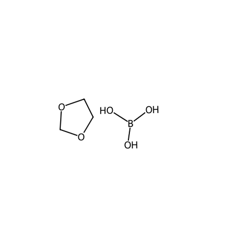 C1COCO1.OB(O)O